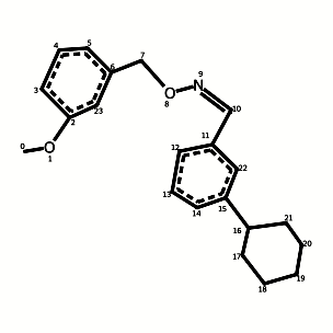 COc1cccc(CO/N=[C]\c2cccc(C3CCCCC3)c2)c1